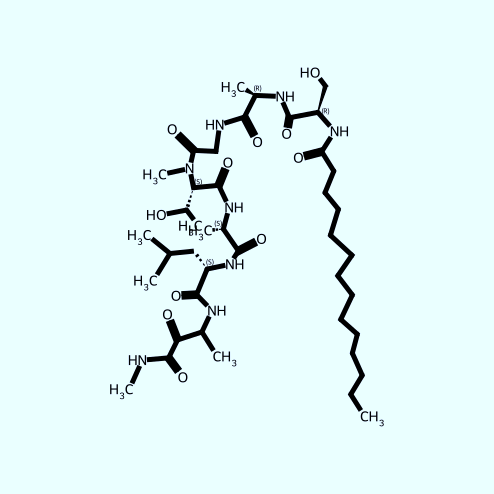 CCCCCCCCCCCCCC(=O)N[C@H](CO)C(=O)N[C@H](C)C(=O)NCC(=O)N(C)[C@H](C(=O)N[C@@H](C)C(=O)N[C@@H](CC(C)C)C(=O)NC(C)C(=O)C(=O)NC)C(C)O